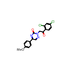 COc1ccc(-c2cnn(CC(=O)c3ccc(Cl)cc3Cl)c(=O)n2)cc1